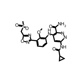 COc1c(Nc2cc(NC(=O)C3CC3)nnc2C(N)=O)cccc1-c1noc(CS(C)(=O)=O)n1